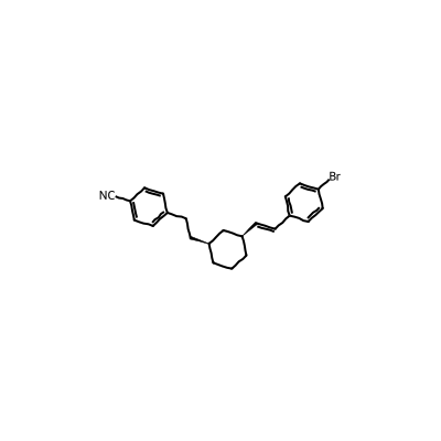 N#Cc1ccc(CC[C@@H]2CCC[C@H](C=Cc3ccc(Br)cc3)C2)cc1